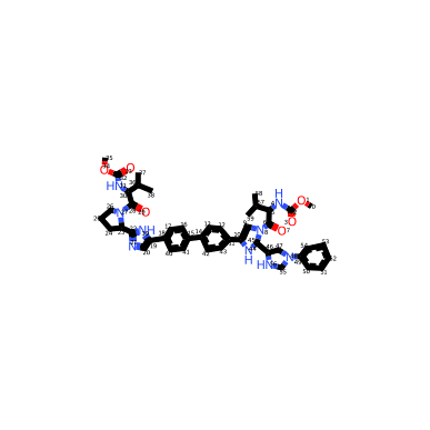 COC(=O)NC(C(=O)N1C=C(c2ccc(-c3ccc(-c4cnc(C5CCCN5C(=O)C(NC(=O)OC)C(C)C)[nH]4)cc3)cc2)NC1C1CN(c2ccccc2)CN1)C(C)C